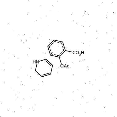 C1=CCNC=C1.CC(=O)Oc1ccccc1C(=O)O